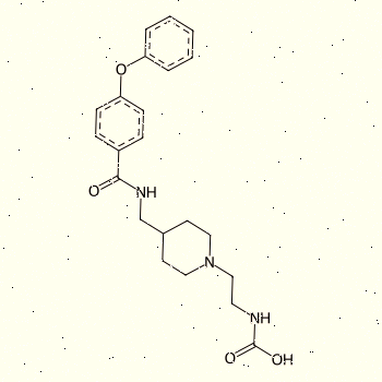 O=C(O)NCCN1CCC(CNC(=O)c2ccc(Oc3ccccc3)cc2)CC1